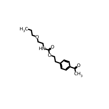 CCCOCCNC(=O)OCCc1ccc(C(C)=O)cc1